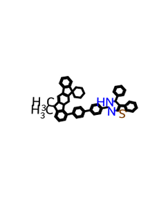 CC1(C)C2=CC3=C(CC2c2c(-c4ccc(-c5ccc(C6=Nc7sc8ccccc8c7C(c7ccccc7)N6)cc5)cc4)cccc21)C1(CCCCC1)c1ccccc13